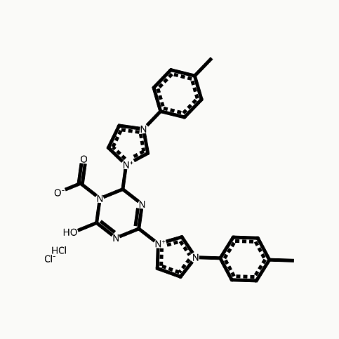 Cc1ccc(-n2cc[n+](C3=NC([n+]4ccn(-c5ccc(C)cc5)c4)N(C(=O)[O-])C(O)=N3)c2)cc1.Cl.[Cl-]